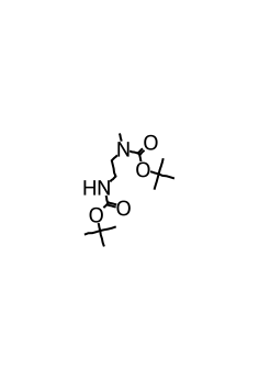 CN(CCNC(=O)OC(C)(C)C)C(=O)OC(C)(C)C